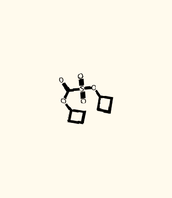 O=C(OC1CCC1)S(=O)(=O)OC1CCC1